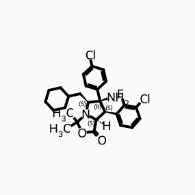 CC1(C)OC(=O)[C@@H]2[C@H](c3cccc(Cl)c3F)[C@@](N)(c3ccc(Cl)cc3)[C@H](CC3CCCCC3)N21